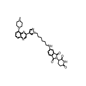 CN1CCN(c2cccc3ncc(-c4cnn(CCCCCCNc5ccc6c(c5)C(=O)N(C5CCC(=O)NC5=O)C6=O)c4)nc23)CC1